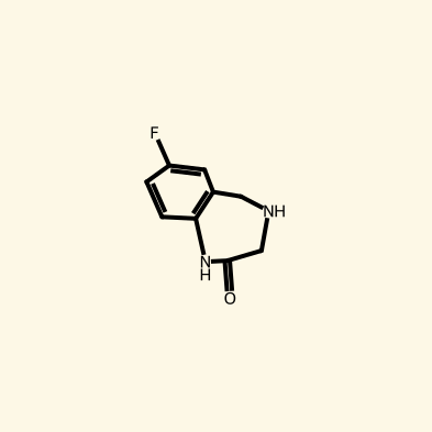 O=C1CNCc2cc(F)ccc2N1